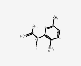 C=C(N)B(F)c1cc(C)ccc1N